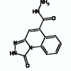 NNC(=O)c1cc2n[nH]c(=O)n2c2ccccc12